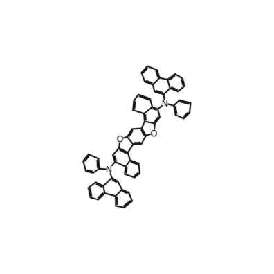 c1ccc(N(c2cc3ccccc3c3ccccc23)c2cc3oc4cc5c(cc4c3c3ccccc23)oc2cc(N(c3ccccc3)c3cc4ccccc4c4ccccc34)c3ccccc3c25)cc1